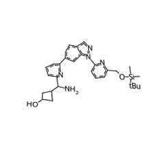 CC(C)(C)[Si](C)(C)OCc1cccc(-n2ncc3ccc(-c4cccc(C(N)C5CC(O)C5)n4)cc32)n1